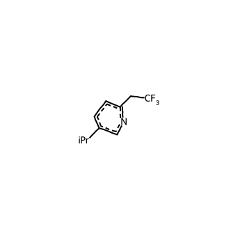 CC(C)c1ccc(CC(F)(F)F)nc1